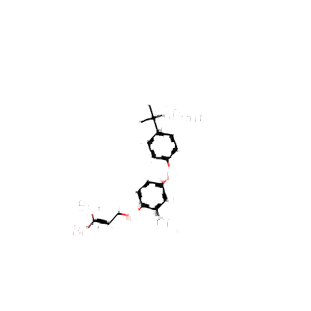 CCCCCC(C)(C)c1ccc(Oc2ccc(OCC=C(Br)Br)c(C(F)(F)F)c2)cc1